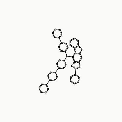 c1ccc(-c2ccc(-c3ccc(N(c4ccc(-c5ccccc5)cc4)c4c5nc(-c6ccccc6)oc5cc5oc6ccccc6c45)cc3)cc2)cc1